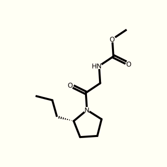 CCC[C@H]1CCCN1C(=O)CNC(=O)OC